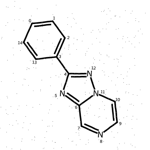 c1ccc(-c2nc3cnccn3n2)cc1